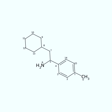 Cc1ccc(C(N)CC2CCCCC2)cc1